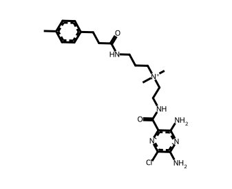 Cc1ccc(CCC(=O)NCCC[N+](C)(C)CCNC(=O)c2nc(Cl)c(N)nc2N)cc1